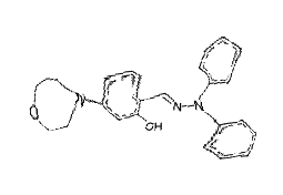 Oc1cc(N2CCOCC2)ccc1C=NN(c1ccccc1)c1ccccc1